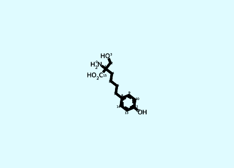 NC(CO)(CCCCc1ccc(O)cc1)C(=O)O